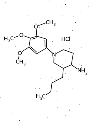 CCCCC1CN(c2cc(OC)c(OC)c(OC)c2)CCC1N.Cl